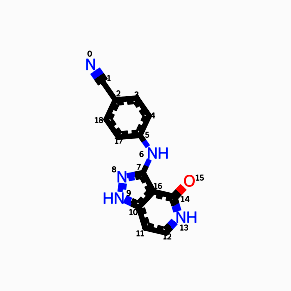 N#Cc1ccc(Nc2n[nH]c3cc[nH]c(=O)c23)cc1